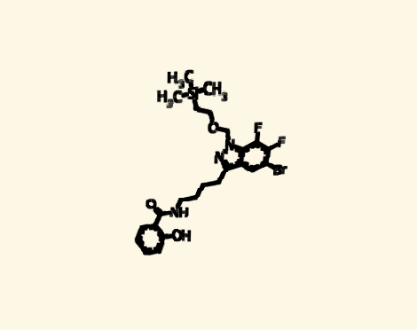 C[Si](C)(C)CCOCn1nc(CCCCNC(=O)c2ccccc2O)c2cc(Br)c(F)c(F)c21